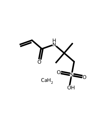 C=CC(=O)NC(C)(C)CS(=O)(=O)O.[CaH2]